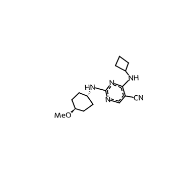 CO[C@H]1CC[C@H](Nc2ncc(C#N)c(NC3CCC3)n2)CC1